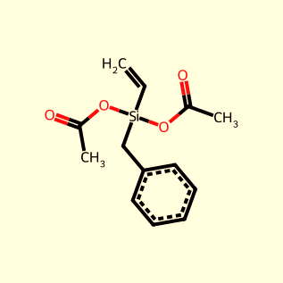 C=C[Si](Cc1ccccc1)(OC(C)=O)OC(C)=O